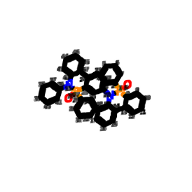 O=P1(c2ccccc2)c2ccccc2-c2ccccc2N1c1ccc2c(c1)P(=O)(c1ccccc1)N(c1ccccc1)c1ccccc1-2